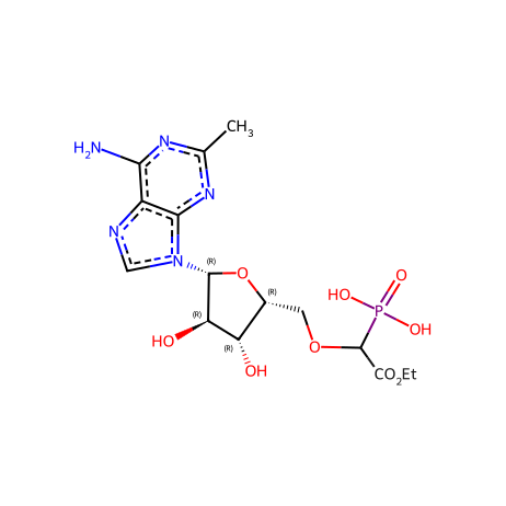 CCOC(=O)C(OC[C@H]1O[C@@H](n2cnc3c(N)nc(C)nc32)[C@H](O)[C@H]1O)P(=O)(O)O